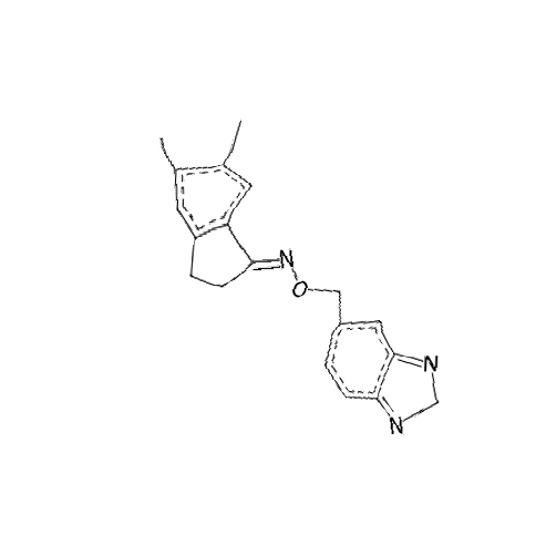 Cc1cc2c(cc1C)/C(=N/OCc1ccc3c(c1)=NCN=3)CC2